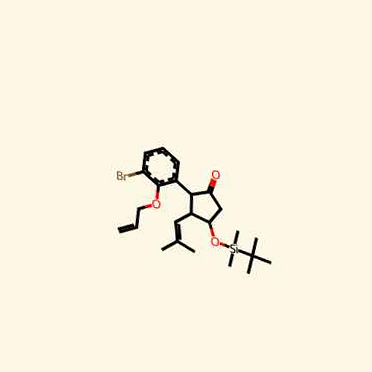 C=CCOc1c(Br)cccc1C1C(=O)CC(O[Si](C)(C)C(C)(C)C)C1C=C(C)C